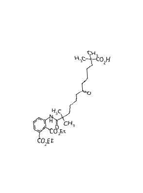 CCOC(=O)c1cccc(NC(=O)C(C)(C)CCCCC(=O)CCCCC(C)(C)C(=O)O)c1C(=O)OCC